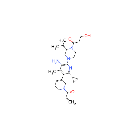 C=CC(=O)N1CCC=C(c2c(C3CC3)nc(N3CCN(C(=O)CCO)[C@H](C(C)C)C3)c(N)c2C)C1